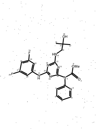 COC(=O)N(c1ccccn1)c1nc(NCC(C)(C)O)nc(Nc2cc(F)cc(F)c2)n1